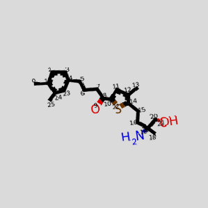 Cc1ccc(CCCC(=O)c2cc(C)c(CCC(C)(N)CO)s2)cc1C